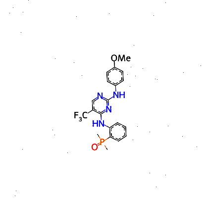 COc1ccc(Nc2ncc(C(F)(F)F)c(Nc3ccccc3P(C)(C)=O)n2)cc1